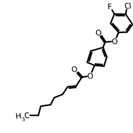 CCCCCC/C=C/C(=O)Oc1ccc(C(=O)Oc2ccc(Cl)c(F)c2)cc1